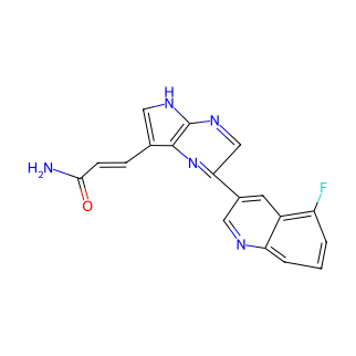 NC(=O)C=Cc1c[nH]c2ncc(-c3cnc4cccc(F)c4c3)nc12